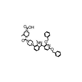 C[C@H]1CN(C(=O)O)CC[C@@H]1C(=O)N1CCN(c2cccc3c(-c4ccc(OCc5ccccc5)nc4OCc4ccccc4)nn(C)c23)CC1